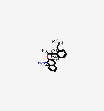 CBCc1cccc(NC)c1C(C)(C)C(C)OC1C=CC2C=CC=C[C@@H]2C1N